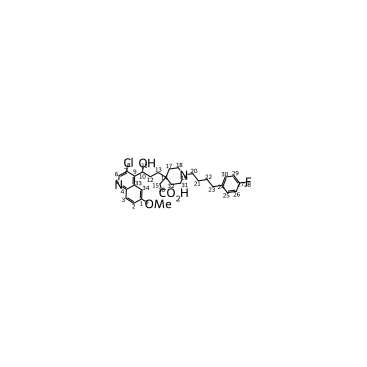 COc1ccc2ncc(Cl)c([C@@H](O)CCC3(CC(=O)O)CCN(CCCCc4ccc(F)cc4)CC3)c2c1